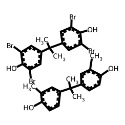 CC(C)(c1cc(Br)c(O)c(Br)c1)c1cc(Br)c(O)c(Br)c1.Cc1cc(C(C)(C)c2ccc(O)c(C)c2)ccc1O